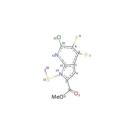 COC(=O)c1cc2c(F)c(F)c(Cl)nc2n1SI